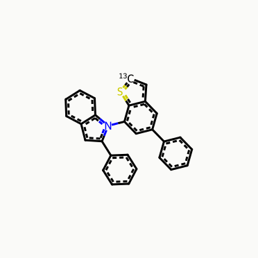 c1ccc(-c2cc(-n3c(-c4ccccc4)cc4ccccc43)c3s[13cH]cc3c2)cc1